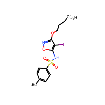 CC(C)(C)c1ccc(S(=O)(=O)Nc2onc(OCCCC(=O)O)c2I)cc1